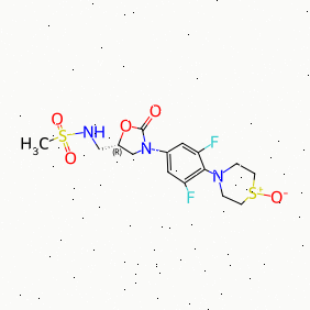 CS(=O)(=O)NC[C@H]1CN(c2cc(F)c(N3CC[S+]([O-])CC3)c(F)c2)C(=O)O1